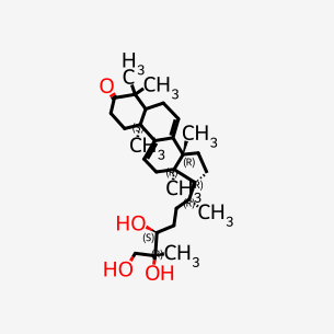 C[C@H](CC[C@H](O)[C@](C)(O)CO)[C@H]1CC[C@@]2(C)C3=CCC4C(C)(C)C(=O)CC[C@]4(C)C3=CC[C@]12C